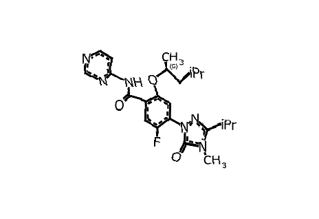 CC(C)C[C@H](C)Oc1cc(-n2nc(C(C)C)n(C)c2=O)c(F)cc1C(=O)Nc1ccncn1